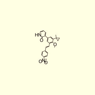 COc1c(C=Cc2ccc([N+](=O)[O-])cc2)cc(-c2ccc[nH]c2=O)cc1C1(C)CC1